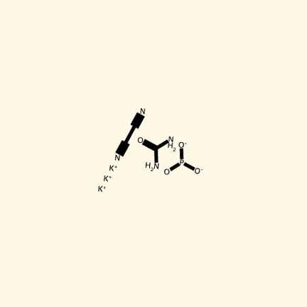 N#CC#N.NC(N)=O.[K+].[K+].[K+].[O-]P([O-])[O-]